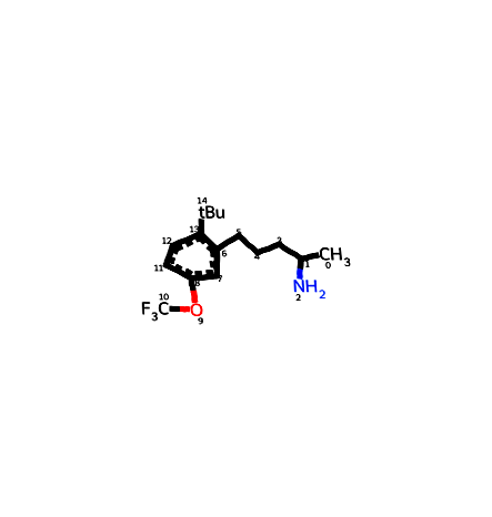 CC(N)CCCc1cc(OC(F)(F)F)ccc1C(C)(C)C